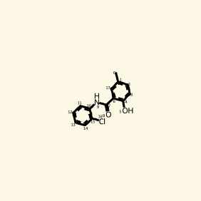 Cc1ccc(O)c(C(=O)Nc2ccccc2Cl)c1